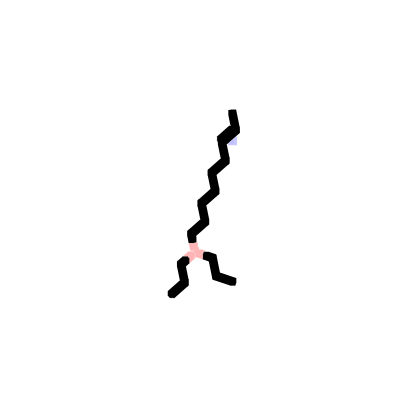 C/C=C/CCCCCCB(CCC)CCC